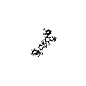 [CH2]n1c(=O)n(C2CCN(C(=O)N[C@@H]3CC[C@@H](c4cccc(F)c4F)CN(CC(F)(F)F)C3=O)CC2)c2cccnc21